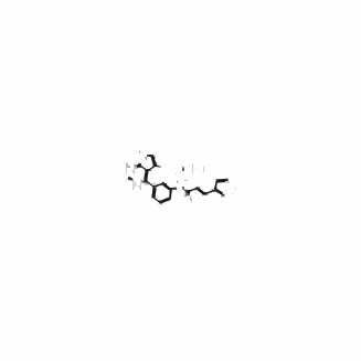 CCOC(=O)c1c[nH]c2ncnc(-c3cccc(NC(=O)C=Cc4ccoc4)c3)c12